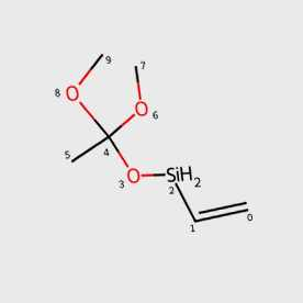 C=C[SiH2]OC(C)(OC)OC